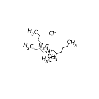 CCCCC(CC)C[N+](C)(C)CC(CC)CCCC.[Cl-]